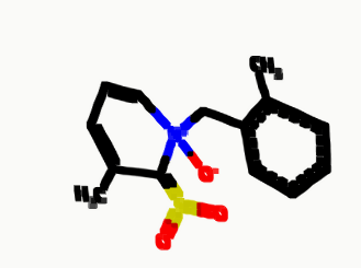 CC1=CC=C[N+]([O-])(Cc2ccccc2C)C1=S(=O)=O